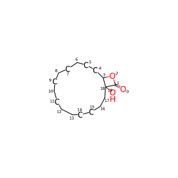 O=C1OC2CCCCCCCCCCCCCCC12O